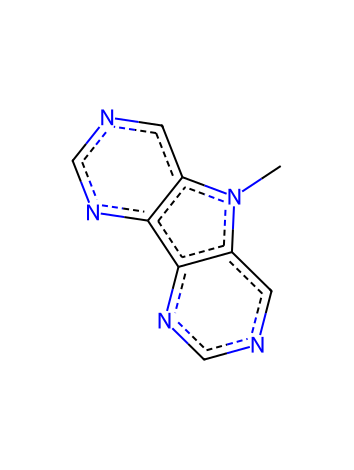 Cn1c2cncnc2c2ncncc21